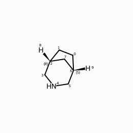 C1C[C@H]2CNC[C@@H]1C2